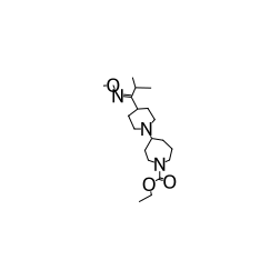 CCOC(=O)N1CCCC(N2CCC(C(=NOC)C(C)C)CC2)CC1